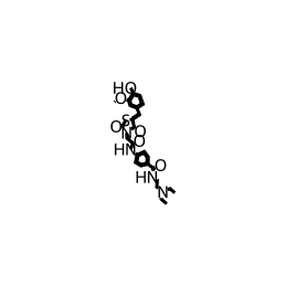 CCN(CC)CCNC(=O)c1ccc(NC(=O)CN2C(=O)S/C(=C\c3ccc(O)c(OC)c3)C2=O)cc1